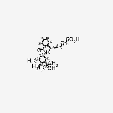 Cc1cc(N(CCC#CCOCC(=O)O)C(=O)c2ccccc2)cc(C(C)(C)O)c1C